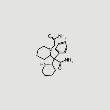 NC(=O)CN1CCCCC1C(C(N)=O)(c1ccccc1)C1CCCCN1